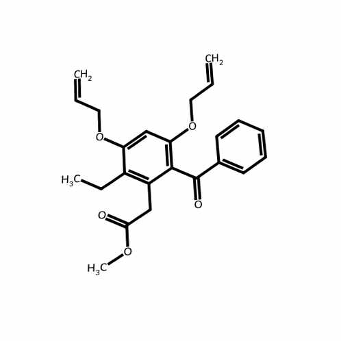 C=CCOc1cc(OCC=C)c(C(=O)c2ccccc2)c(CC(=O)OC)c1CC